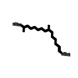 [CH2]CCCCCCC/C=C/CCCCC(C)CCCCCCC(C)CCCCC[CH2]